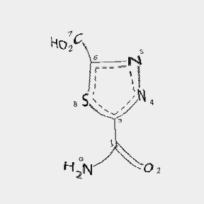 NC(=O)c1nnc(C(=O)O)s1